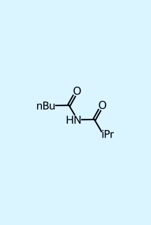 CCCCC(=O)NC(=O)C(C)C